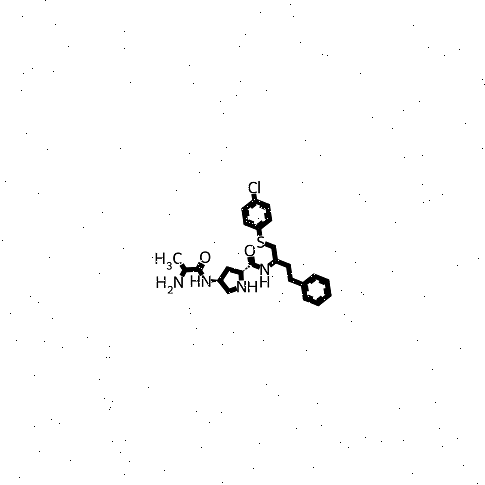 CC(N)C(=O)N[C@@H]1CN[C@@H](C(=O)NC(CCc2ccccc2)CSc2ccc(Cl)cc2)C1